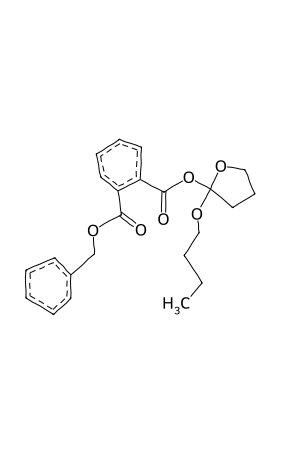 CCCCOC1(OC(=O)c2ccccc2C(=O)OCc2ccccc2)CCCO1